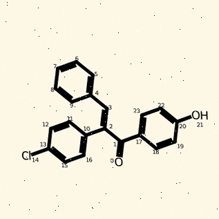 O=C(/C(=C/c1ccccc1)c1ccc(Cl)cc1)c1ccc(O)cc1